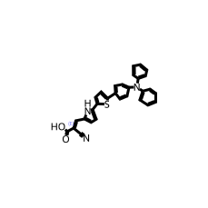 N#C/C(=C\c1ccc(-c2ccc(-c3ccc(N(c4ccccc4)c4ccccc4)cc3)s2)[nH]1)C(=O)O